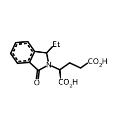 CCC1c2ccccc2C(=O)N1C(CCC(=O)O)C(=O)O